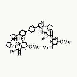 CCc1cc(OC)nc(N[C@H](C(=O)N2CCC[C@H]2c2ncc(-c3ccc(-c4ccc(-c5cnc([C@@H]6CCCN6C(=O)[C@@H](Nc6nc(OC)cc(OC)n6)C(C)C)[nH]5)cc4)cc3)[nH]2)C(C)C)n1